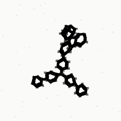 c1ccc(-c2ccc(N(c3ccc(-c4ccccc4)cc3)c3ccc(-c4ccc5c(c4)-c4ccccc4C54C5CC6CC(C5)CC4C6)cc3)cc2)cc1